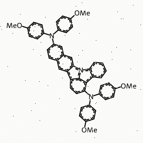 COc1ccc(N(c2ccc(OC)cc2)c2ccc3cc4c5ccc(N(c6ccc(OC)cc6)c6ccc(OC)cc6)c6c7ccccc7n(c4cc3c2)c56)cc1